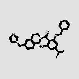 O=C(c1c(O)cc(C(F)F)cc1OCc1ccccc1)N1CCc2cc(Cn3ccnc3)ccc2C1